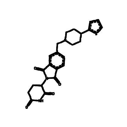 O=C1CCC(N2C(=O)c3ccc(CN4CCC(c5cccs5)CC4)cc3C2=O)C(=O)N1